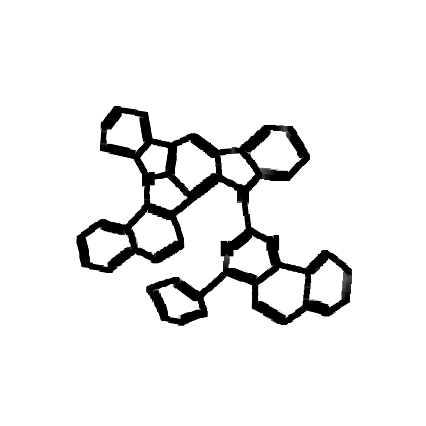 c1ccc(-c2nc(-n3c4ccccc4c4cc5c6ccccc6n6c7c8ccccc8ccc7c(c43)c56)nc3c2ccc2ccccc23)cc1